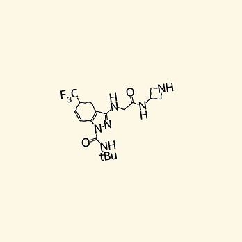 CC(C)(C)NC(=O)n1nc(NCC(=O)NC2CNC2)c2cc(C(F)(F)F)ccc21